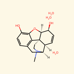 CN1CC[C@]23c4c5ccc(O)c4O[C@H]2[C@@H](O)C=C[C@H]3[C@H]1C5.O.O.O